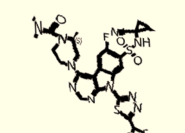 C[C@H]1CN(c2ncnc3c2c2cc(F)c(S(=O)(=O)NC4(C#N)CC4)cc2n3-c2nnc(C(F)F)s2)CCN1C(=O)N(C)C